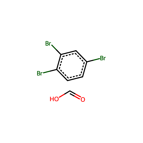 Brc1ccc(Br)c(Br)c1.O=CO